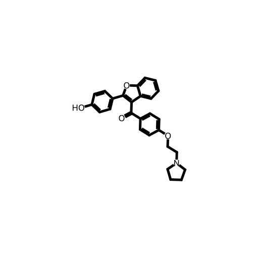 O=C(c1ccc(OCCN2CCCC2)cc1)c1c(-c2ccc(O)cc2)oc2ccccc12